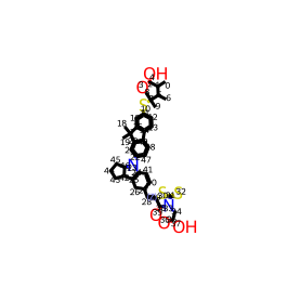 CC(C(=O)O)C(C)C(C)(C)Sc1ccc2c(c1)C(C)(C)c1cc(N3C4=C(CC(/C=C5\SC(=S)N(CC(=O)O)C5=O)C=C4)C4CCCC43)ccc1-2